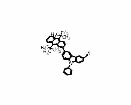 CC(C)(C)c1c2ccccc2c(C(C)(C)C)c2cc(-c3ccc4c(c3)c3cc(C#N)ccc3n4-c3ccccc3)ccc12